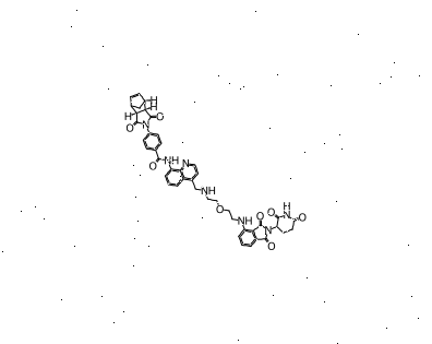 O=C1CCC(N2C(=O)c3cccc(NCCOCCNCc4ccnc5c(NC(=O)c6ccc(N7C(=O)[C@@H]8[C@H](C7=O)C7C=C[C@H]8C7)cc6)cccc45)c3C2=O)C(=O)N1